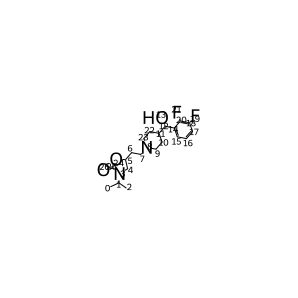 CC(C)N1CC(CCN2CCC(C(O)c3cccc(F)c3F)CC2)OC1=O